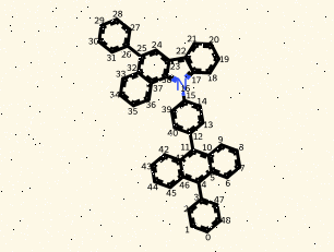 c1ccc(-c2c3ccccc3c(-c3ccc(-n4c5ccccc5c5cc(-c6ccccc6)c6ccccc6c54)cc3)c3ccccc23)cc1